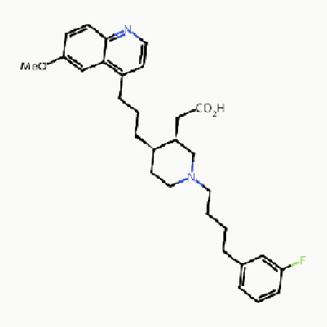 COc1ccc2nccc(CCC[C@@H]3CCN(CCCCc4cccc(F)c4)C[C@@H]3CC(=O)O)c2c1